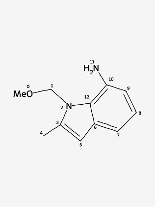 COCn1c(C)cc2cccc(N)c21